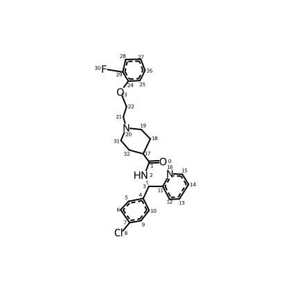 O=C(N[C@@H](c1ccc(Cl)cc1)c1ccccn1)C1CCN(CCOc2ccccc2F)CC1